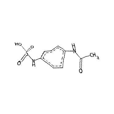 CC(=O)Nc1ccc(NS(=O)(=O)O)cc1